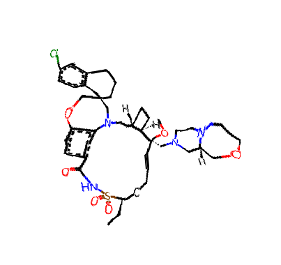 CC[C@@H]1CC/C=C/[C@](CN2CCN3CCOC[C@@H]3C2)(OC)[C@@H]2CC[C@H]2CN2C[C@@]3(CCCc4cc(Cl)ccc43)COc3ccc(cc32)C(=O)NS1(=O)=O